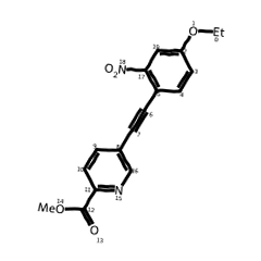 CCOc1ccc(C#Cc2ccc(C(=O)OC)nc2)c([N+](=O)[O-])c1